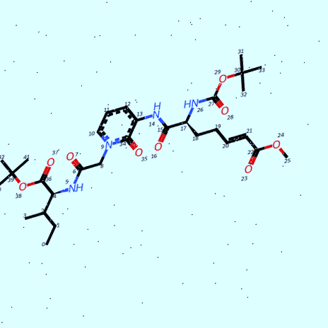 CCC(C)[C@H](NC(=O)Cn1cccc(NC(=O)[C@H](CC/C=C/C(=O)OC)NC(=O)OC(C)(C)C)c1=O)C(=O)OC(C)(C)C